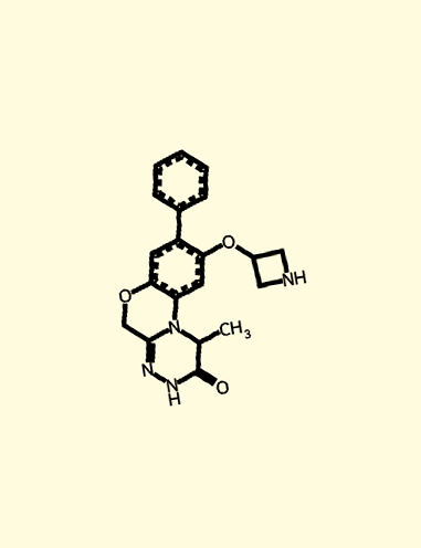 CC1C(=O)NN=C2COc3cc(-c4ccccc4)c(OC4CNC4)cc3N21